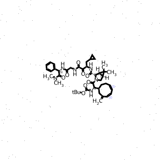 C=C1/C=C\C=C/CCC([C@H](NC(=O)OC(C)(C)C)C(=O)N2C[C@H]3[C@@H]([C@H]2C(=O)NC(CC2CC2)C(=O)C(=O)NCC(=O)N[C@H](C(=O)N(C)C)c2ccccc2)C3(C)C)C1